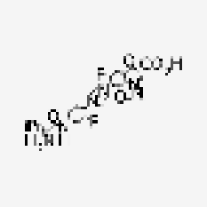 CC(C)[C@@H](N)C(=O)Nc1ccc(N2CCN(c3c(F)cc4c(=O)c(C(=O)O)cn5c4c3OCN5C)CC2)c(F)c1